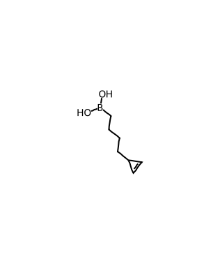 OB(O)CCCCC1C=C1